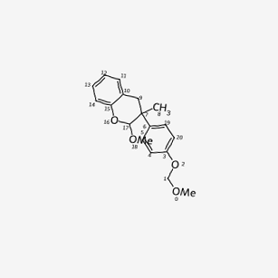 COCOc1ccc(C2(C)Cc3ccccc3OC2OC)cc1